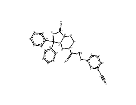 N#Cc1cc(CNC(=O)N2CCN3C(=O)OC(c4ccccc4)(c4ccccc4)C3C2)ccn1